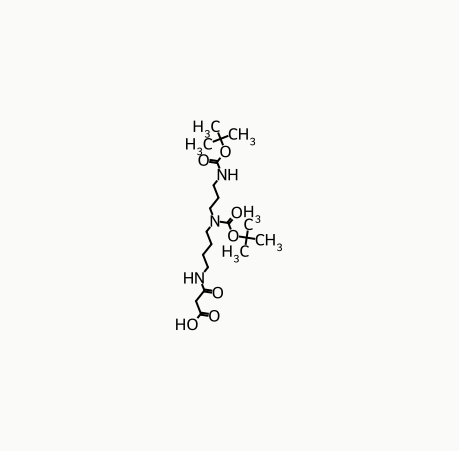 CC(C)(C)OC(=O)NCCCN(CCCCNC(=O)CC(=O)O)C(=O)OC(C)(C)C